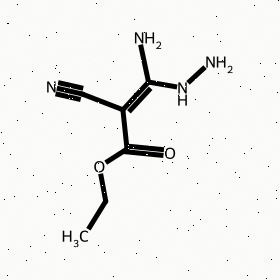 CCOC(=O)/C(C#N)=C(/N)NN